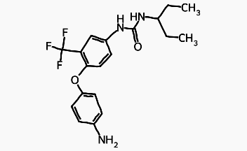 CCC(CC)NC(=O)Nc1ccc(Oc2ccc(N)cc2)c(C(F)(F)F)c1